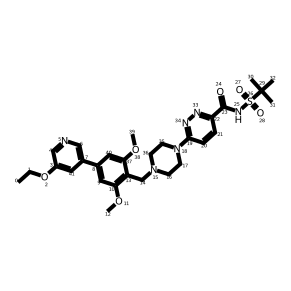 CCOc1cncc(-c2cc(OC)c(CN3CCN(c4ccc(C(=O)NS(=O)(=O)C(C)(C)C)nn4)CC3)c(OC)c2)c1